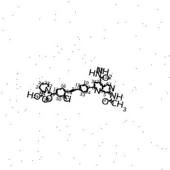 CC(=O)Nc1cc2nc(-c3ccc(C#Cc4ccc(C(=O)N5CCCC[C@H]5C(=O)O)cc4Cl)cc3)cc(C(=O)NN)c2cn1